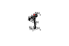 Cc1ncoc1[C@]12C[C@H]1[C@@](CF)(c1cc(N)ccc1F)N=C(OC(=O)NCOCC[Si](C)(C)C)S2